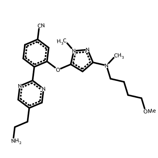 COCCCCN(C)c1cc(Oc2cc(C#N)ccc2-c2ncc(CCN)cn2)n(C)n1